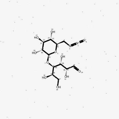 [N-]=[N+]=NC[C@H]1O[C@@H](O[C@@H]([C@H](O)[C@@H](O)C=O)[C@H](O)CO)[C@H](O)[C@@H](O)[C@@H]1O